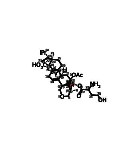 CC(=O)O[C@@H]1C[C@]23COC[C@@](C)([C@@H]2CC[C@H]2C3=CC[C@@]3(C)[C@H](C(=O)O)[C@@](C)([C@H](C)C(C)C)CC[C@]23C)[C@H]1OC(=O)C(N)CCO